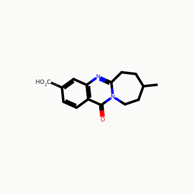 CC1CCc2nc3cc(C(=O)O)ccc3c(=O)n2CC1